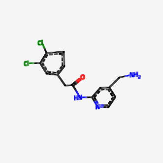 NCc1ccnc(NC(=O)Cc2ccc(Cl)c(Cl)c2)c1